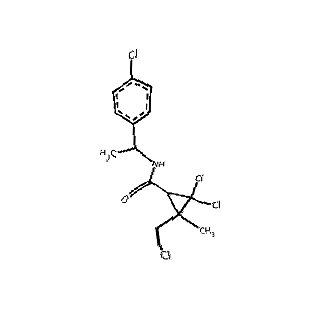 CC(NC(=O)C1C(Cl)(Cl)C1(C)CCl)c1ccc(Cl)cc1